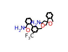 NCCC1(COCc2cc(-c3ccccc3C(N)=O)cc(C(F)(F)F)c2)OCc2ccccc21